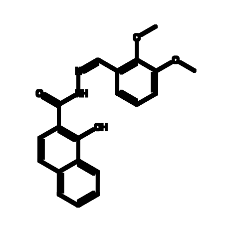 COc1cccc(/C=N\NC(=O)c2ccc3ccccc3c2O)c1OC